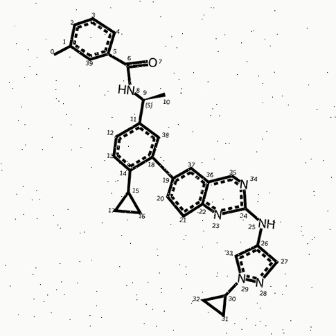 Cc1cccc(C(=O)N[C@@H](C)c2ccc(C3CC3)c(-c3ccc4nc(Nc5cnn(C6CC6)c5)ncc4c3)c2)c1